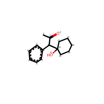 CC(=O)C(c1ccccc1)C1(O)CCCCC1